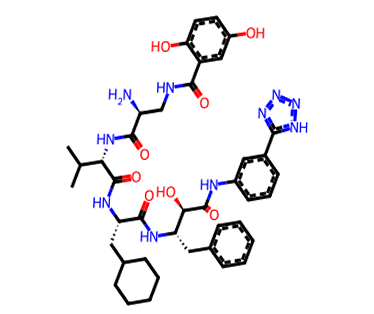 CC(C)[C@H](NC(=O)[C@@H](N)CNC(=O)c1cc(O)ccc1O)C(=O)N[C@@H](CC1CCCCC1)C(=O)N[C@@H](Cc1ccccc1)[C@@H](O)C(=O)Nc1cccc(-c2nnn[nH]2)c1